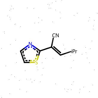 CC(C)/C=C(\C#N)c1nccs1